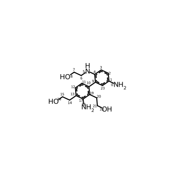 Nc1ccc(NCCO)c(-c2ccc(CCO)c(N)c2CCO)c1